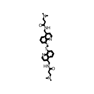 CN(C)CCC(=O)NCc1ccnc2c(SSc3cccc4c(CNC(=O)CCN(C)C)ccnc34)cccc12